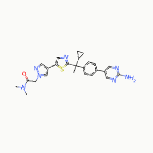 CN(C)C(=O)Cn1cc(-c2cnc(C(C)(c3ccc(-c4cnc(N)nc4)cc3)C3CC3)s2)cn1